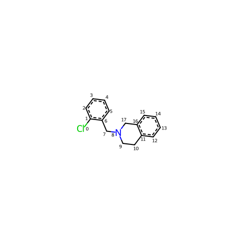 Clc1ccccc1CN1CCc2ccccc2C1